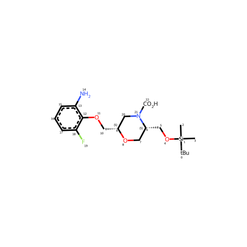 CC(C)(C)[Si](C)(C)OC[C@@H]1CO[C@H](COc2c(N)cccc2F)CN1C(=O)O